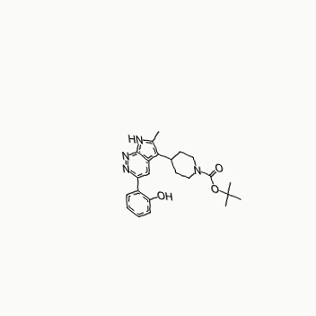 Cc1[nH]c2nnc(-c3ccccc3O)cc2c1C1CCN(C(=O)OC(C)(C)C)CC1